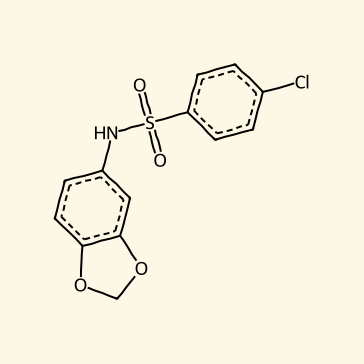 O=S(=O)(Nc1ccc2c(c1)OCO2)c1ccc(Cl)cc1